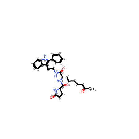 CC(=O)CCCCC[C@H](NC(=O)C1CCC(=O)N1)C(=O)NCCc1c(-c2ccccc2)[nH]c2ccccc12